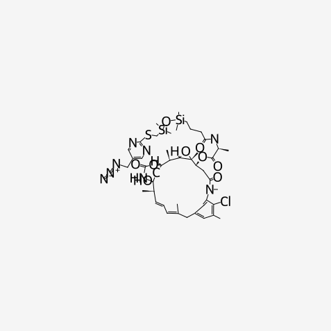 C/C1=C\C=C\[C@@H](C)[C@@]2(O)C[C@H](OC(=O)N2)[C@@H](C)[C@@H]2O[C@]2(C)[C@@H](OC(=O)[C@H](C)N(C)C(=O)CCC[Si](C)(C)O[Si](C)(C)CSc2ncc(CN=[N+]=[N-])cn2)CC(=O)N(C)c2cc(cc(C)c2Cl)C1